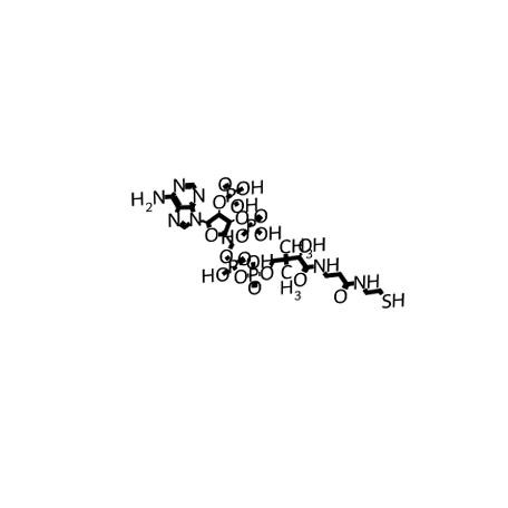 CC(C)(COP(=O)(O)OP(=O)(O)OC[C@H]1O[C@@H](n2cnc3c(N)ncnc32)[C@H](OP(=O)(O)O)[C@@H]1OP(=O)(O)O)[C@@H](O)C(=O)NCCC(=O)NCCS